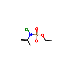 C=C(C)N(Cl)S(=O)(=O)OCC